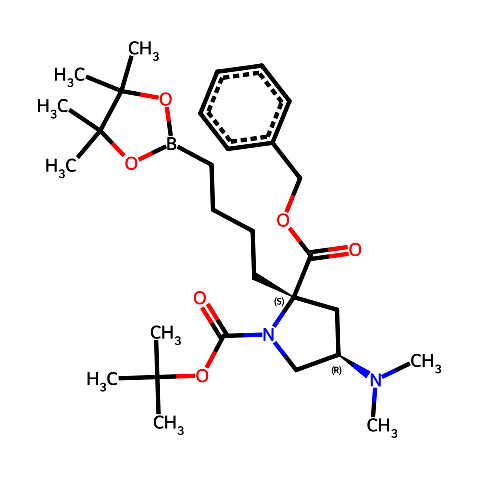 CN(C)[C@H]1CN(C(=O)OC(C)(C)C)[C@](CCCCB2OC(C)(C)C(C)(C)O2)(C(=O)OCc2ccccc2)C1